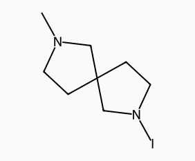 CN1CCC2(CCN(I)C2)C1